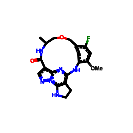 COc1cc(F)c2cc1Nc1nc3c(cnn3c3c1CCN3)C(=O)NC(C)COC2